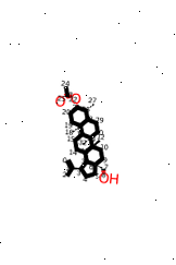 C=C(C)[C@@H]1CC[C@]2(CO)CC[C@]3(C)C(CCC4[C@@]5(C)CC[C@H](OC(C)=O)[C@H](C)C5CC[C@]43C)C12